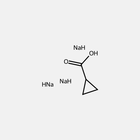 O=C(O)C1CC1.[NaH].[NaH].[NaH]